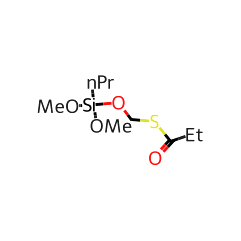 CCC[Si](OC)(OC)OCSC(=O)CC